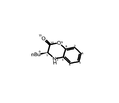 CCCC[C@@H]1Nc2ccccc2OC1=O